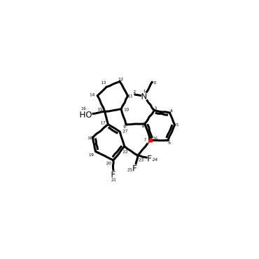 CN(C)c1ccccc1CC1CCCCC1(O)c1ccc(F)c(C(F)(F)F)c1